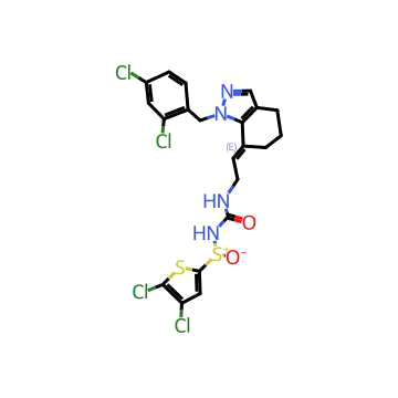 O=C(NC/C=C1\CCCc2cnn(Cc3ccc(Cl)cc3Cl)c21)N[S+]([O-])c1cc(Cl)c(Cl)s1